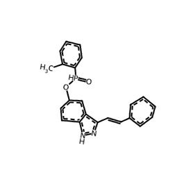 Cc1ccccc1[PH](=O)Oc1ccc2[nH]nc(C=Cc3ccccc3)c2c1